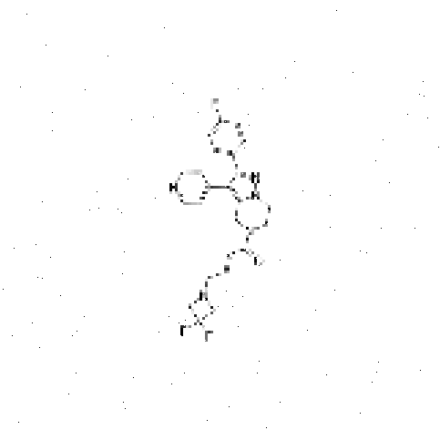 O=C(/C=C/CN1CC(F)(F)C1)N1CCn2nc(-c3ccc(F)cc3)c(-c3ccncc3)c2C1